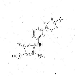 CC(=O)N1CCN(c2cccc(Nc3cc(F)c(C(=O)O)cc3[N+](=O)[O-])c2)CC1